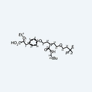 CCOC(Cc1ccc(OCCN(CCOCCC(C)(F)F)C(=O)NCC(C)(C)C)cc1)C(=O)O